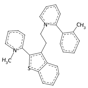 Cc1ccccc1-c1cccc[n+]1CCc1c(-c2cccc[n+]2C)sc2ccccc12